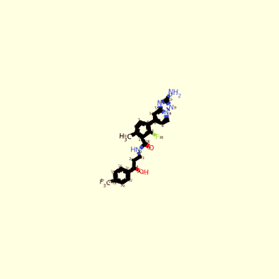 Cc1ccc(-c2ccn3nc(N)nc3c2)c(F)c1C(=O)NCCC(O)c1ccc(C(F)(F)F)cc1